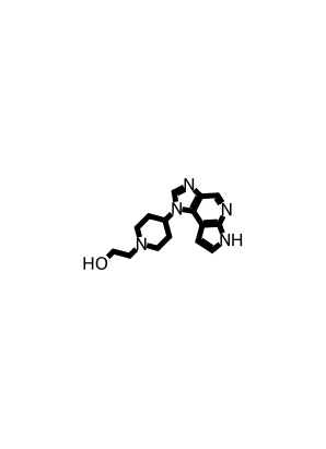 OCCN1CCC(n2cnc3cnc4[nH]ccc4c32)CC1